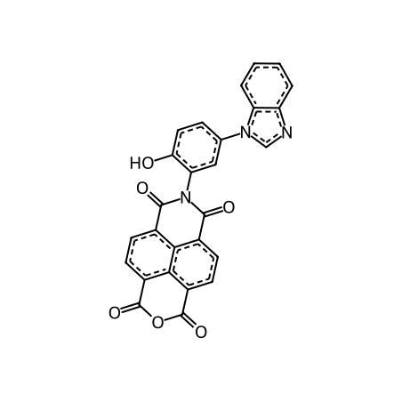 O=C1OC(=O)c2ccc3c4c(ccc1c24)C(=O)N(c1cc(-n2cnc4ccccc42)ccc1O)C3=O